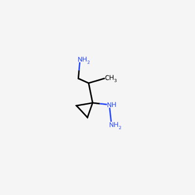 CC(CN)C1(NN)CC1